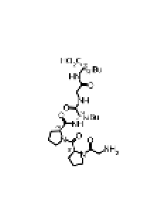 CC[C@H](C)[C@H](NC(=O)CNC(=O)[C@@H](NC(=O)[C@@H]1CCCN1C(=O)[C@@H]1CCCN1C(=O)CN)[C@@H](C)CC)C(=O)O